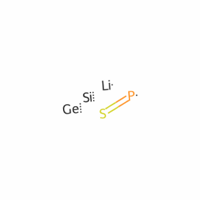 [Ge].[Li].[P]=S.[Si]